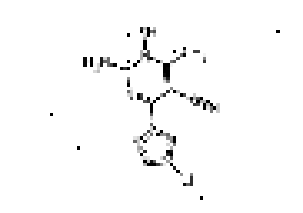 CC1=C(C#N)C(n2cc(Cl)cn2)=NC(N)N1S